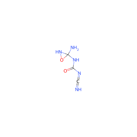 N=C=NC(=O)NC1(N)NO1